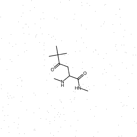 CNC(=O)C(CC(=O)C(C)(C)C)NC